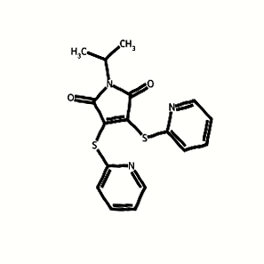 CC(C)N1C(=O)C(Sc2ccccn2)=C(Sc2ccccn2)C1=O